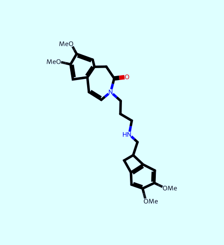 COc1cc2c(cc1OC)CC(=O)N(CCCNCC1Cc3cc(OC)c(OC)cc31)C=C2